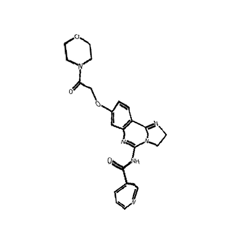 O=C(NC1=Nc2cc(OCC(=O)N3CCOCC3)ccc2C2=NCCN12)c1cccnc1